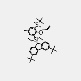 C=CCOc1c([Si](CC)(CC)C2c3ccc(C(C)(C)C)cc3-c3cc(C(C)(C)C)ccc32)cc(C)cc1[Si](C)(C)C(C)(C)C